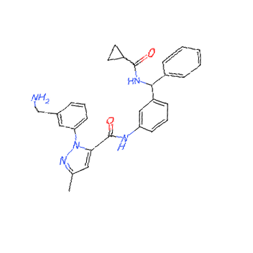 Cc1cc(C(=O)Nc2cccc(C(NC(=O)C3CC3)c3ccccc3)c2)n(-c2cccc(CN)c2)n1